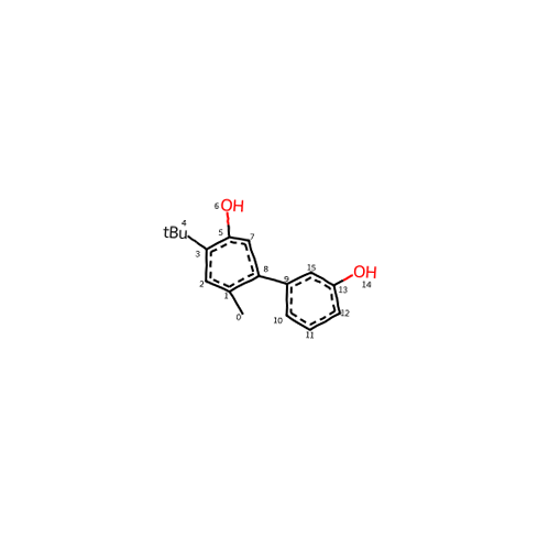 Cc1cc(C(C)(C)C)c(O)cc1-c1cccc(O)c1